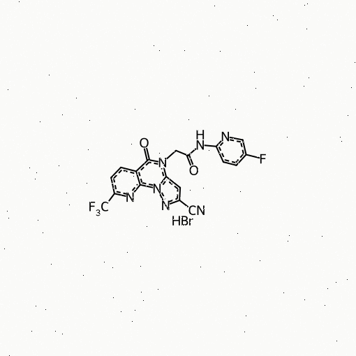 Br.N#Cc1cc2n(CC(=O)Nc3ccc(F)cn3)c(=O)c3ccc(C(F)(F)F)nc3n2n1